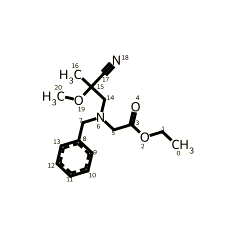 CCOC(=O)CN(Cc1ccccc1)CC(C)(C#N)OC